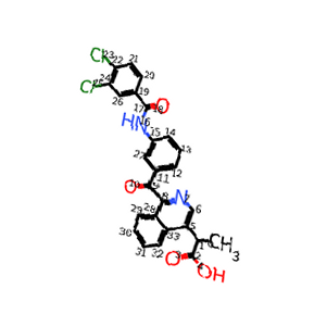 CC(C(=O)O)c1cnc(C(=O)c2cccc(NC(=O)c3ccc(Cl)c(Cl)c3)c2)c2ccccc12